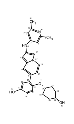 Cc1cc(Nc2cc3cc(-c4cc(O)ncc4O[C@H]4CC[C@H](O)CC4)ccn3n2)nc(C)n1